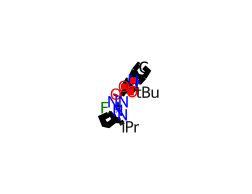 CC(C)c1nn(-c2noc(C3CCN(C4C5CCCC4CN(C(=O)OC(C)(C)C)C5)CC3)n2)c2c(F)cccc12